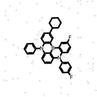 Fc1ccc(N2c3ccc(F)cc3B3c4cc(C5CCCCC5)ccc4N(c4ccccc4)c4cccc2c43)cc1